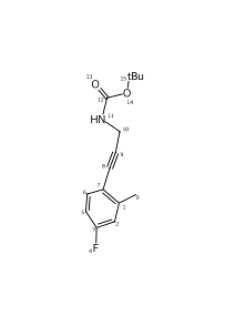 Cc1cc(F)ccc1C#CCNC(=O)OC(C)(C)C